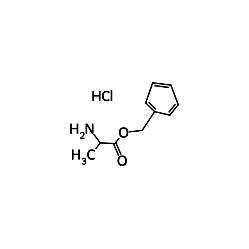 CC(N)C(=O)OCc1ccccc1.Cl